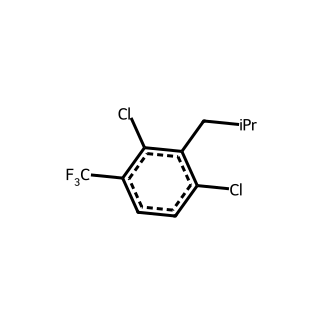 CC(C)Cc1c(Cl)ccc(C(F)(F)F)c1Cl